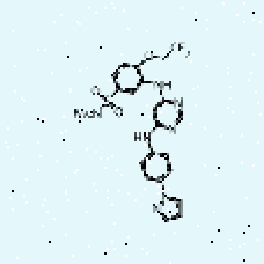 CNS(=O)(=O)c1ccc(OCC(F)(F)F)c(Nc2cc(Nc3ccc(-n4cccn4)cc3)ncn2)c1